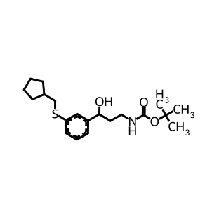 CC(C)(C)OC(=O)NCCC(O)c1cccc(SCC2CCCC2)c1